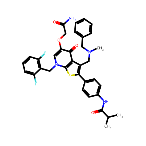 CC(C)C(=O)Nc1ccc(-c2sc3c(c2CN(C)Cc2ccccc2)c(=O)c(OCC(N)=O)cn3Cc2c(F)cccc2F)cc1